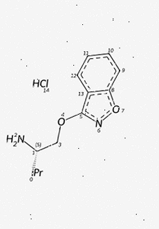 CC(C)[C@H](N)COc1noc2ccccc12.Cl